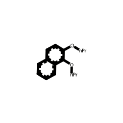 CCCOc1ccc2c[c]ccc2c1OCCC